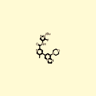 Cc1cnc(C(=O)Nc2cnn(C(C)(C)C)c2F)cc1-c1cc(N2CCOCC2)c2nccn2c1